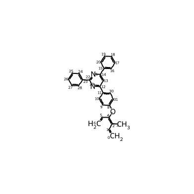 C=C/C(C)=C(\C=C)Oc1ccc(-c2cc(-c3ccccc3)nc(-c3ccccc3)n2)cc1